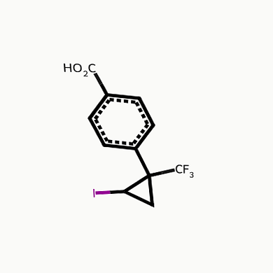 O=C(O)c1ccc(C2(C(F)(F)F)CC2I)cc1